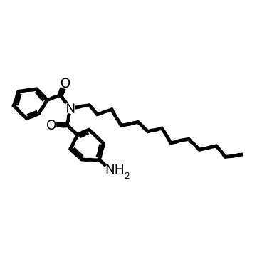 CCCCCCCCCCCCCN(C(=O)c1ccccc1)C(=O)c1ccc(N)cc1